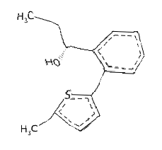 CC[C@@H](O)c1ccccc1-c1ccc(C)s1